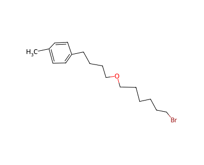 Cc1ccc(CCCCOCCCCCCBr)cc1